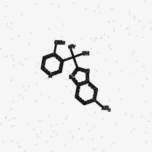 CCCC(O)(c1nc2ccc([N+](=O)[O-])cc2s1)c1cnccc1OC